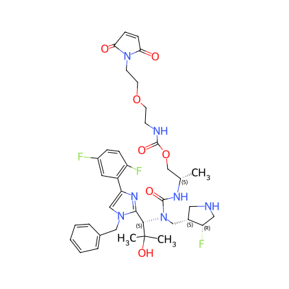 C[C@@H](COC(=O)NCCOCCN1C(=O)C=CC1=O)NC(=O)N(C[C@@H]1CNC[C@@H]1F)[C@@H](c1nc(-c2cc(F)ccc2F)cn1Cc1ccccc1)C(C)(C)O